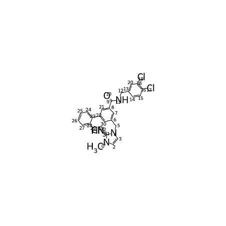 Cn1ccn(Cc2cc(C(=O)NCc3ccc(Cl)c(Cl)c3)cc(-c3ccccc3C(F)(F)F)c2)c1=N